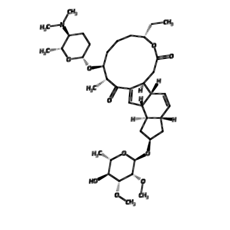 CC[C@H]1CCC[C@H](O[C@H]2CC[C@H](N(C)C)[C@@H](C)O2)[C@@H](C)C(=O)C2=C[C@@H]3[C@@H](C=C[C@@H]4C[C@@H](O[C@@H]5O[C@@H](C)[C@H](O)[C@@H](OC)[C@H]5OC)C[C@@H]34)[C@@H]2CC(=O)O1